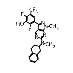 CN(c1ncc2c(-c3cc(C(F)(F)F)c(F)c(O)c3F)nn(C)c2n1)C1CCc2ccccc2C1